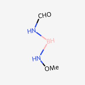 CONBNC=O